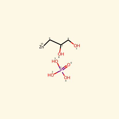 O=P(O)(O)O.OCC(O)[CH2][Zn]